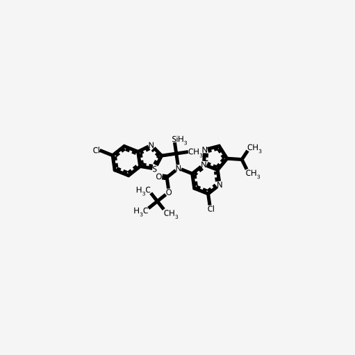 CC(C)c1cnn2c(N(C(=O)OC(C)(C)C)C(C)([SiH3])c3nc4cc(Cl)ccc4s3)cc(Cl)nc12